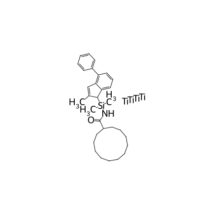 CC1=Cc2c(-c3ccccc3)cccc2C1[Si](C)(C)NC(=O)C1CCCCCCCCCCC1.[Ti].[Ti].[Ti].[Ti]